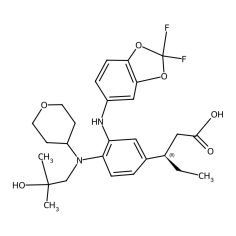 CC[C@H](CC(=O)O)c1ccc(N(CC(C)(C)O)C2CCOCC2)c(Nc2ccc3c(c2)OC(F)(F)O3)c1